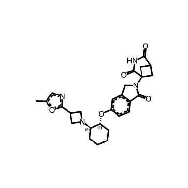 Cc1cnc(C2CN([C@@H]3CCCC[C@H]3Oc3ccc4c(c3)CN(C35CC(C3)C(=O)NC5=O)C4=O)C2)o1